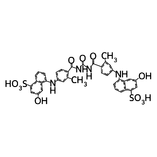 Cc1cc(Nc2cccc3c(S(=O)(=O)O)cc(O)cc23)ccc1C(=O)NC(=O)NC(=O)c1ccc(Nc2cccc3c(S(=O)(=O)O)cc(O)cc23)cc1C